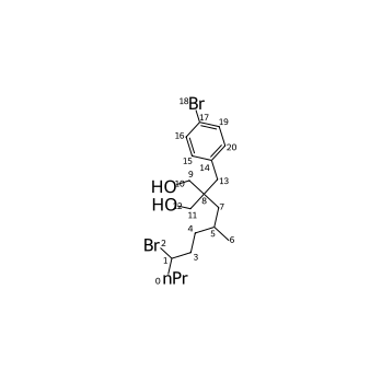 CCCC(Br)CCC(C)CC(CO)(CO)Cc1ccc(Br)cc1